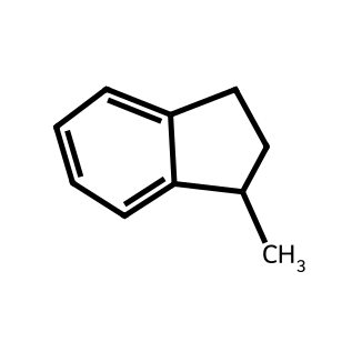 CC1CCc2ccccc21